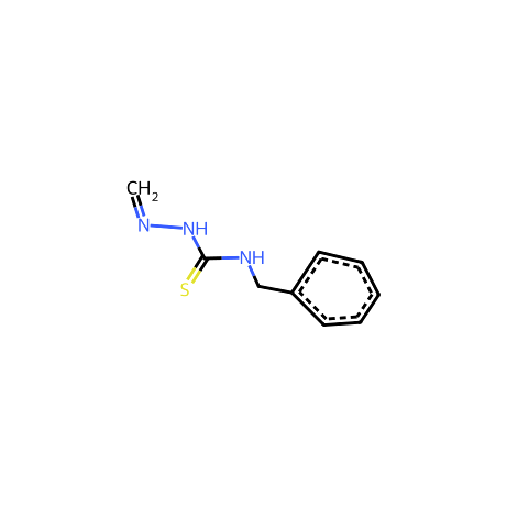 C=NNC(=S)NCc1ccccc1